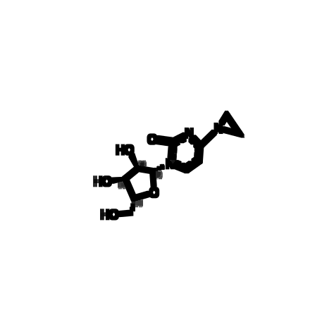 O=c1nc(N2CC2)ccn1[C@@H]1O[C@H](CO)[C@@H](O)[C@H]1O